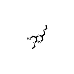 CCSCC(CS)SC(CS)CSCC